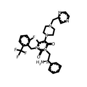 Cc1c(N2CCN(Cc3cnccn3)CC2)c(=O)n(C[C@H](N)c2ccccc2)c(=O)n1Cc1c(F)cccc1C(F)(F)F